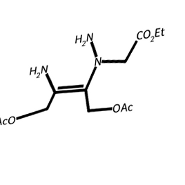 CCOC(=O)CN(N)/C(COC(C)=O)=C(\N)COC(C)=O